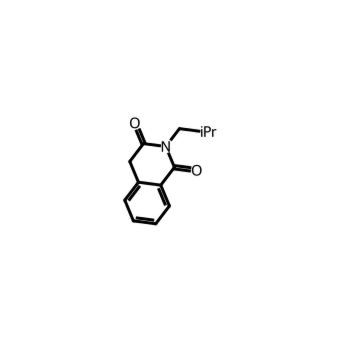 CC(C)CN1C(=O)Cc2ccccc2C1=O